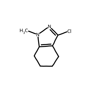 Cn1nc(Cl)c2c1CCCC2